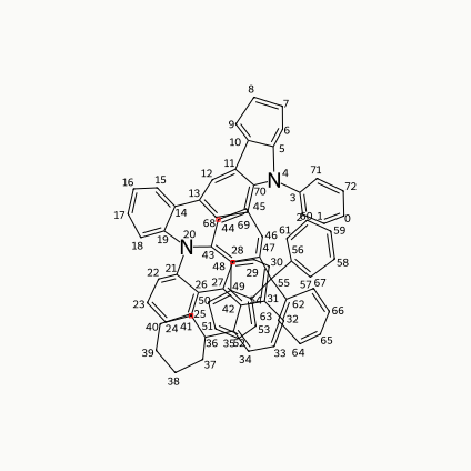 c1ccc(-n2c3ccccc3c3cc(-c4ccccc4N(c4ccccc4-c4cccc5cccc(C6CCCCC6)c45)c4cccc5c4-c4ccccc4C5(c4ccccc4)c4ccccc4)ccc32)cc1